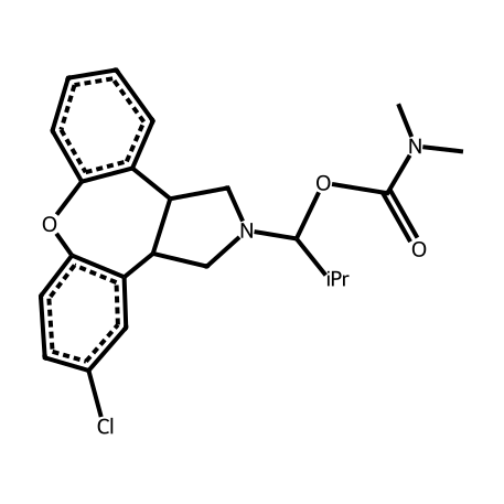 CC(C)C(OC(=O)N(C)C)N1CC2c3ccccc3Oc3ccc(Cl)cc3C2C1